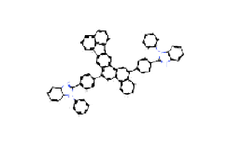 C1=CC2N=C(c3ccc(-c4cc5c6cc7c(cc6c(-c6ccc(C8=NC9C=CC=CC9N8c8ccccc8)cc6)cc5c5ccccc45)-c4cccc5cccc-7c45)cc3)N(c3ccccc3)C2C=C1